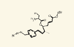 CC(C)CC(N)C(=O)O[C@@H](CC=CC(=O)OC(C)(C)C)[C@H](C)C=Cc1ccc(CN=[N+]=[N-])cc1